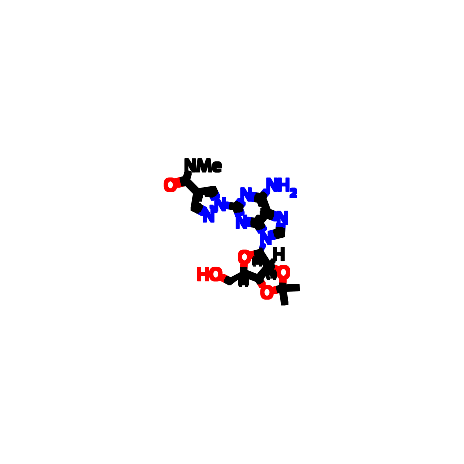 CNC(=O)c1cnn(-c2nc(N)c3ncn([C@@H]4O[C@H](CO)C5OC(C)(C)O[C@@H]54)c3n2)c1